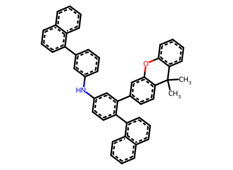 CC1(C)c2ccccc2Oc2cc(-c3cc(Nc4cccc(-c5cccc6ccccc56)c4)ccc3-c3cccc4ccccc34)ccc21